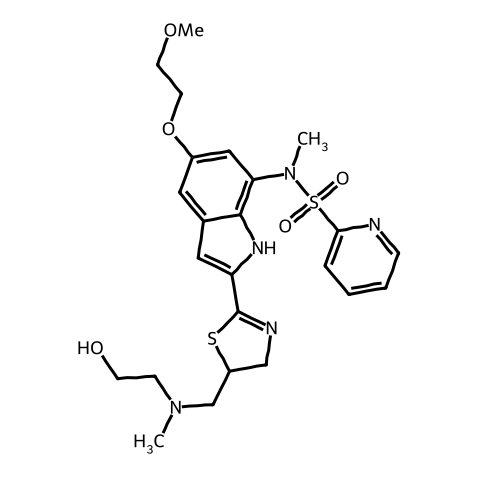 COCCOc1cc(N(C)S(=O)(=O)c2ccccn2)c2[nH]c(C3=NCC(CN(C)CCO)S3)cc2c1